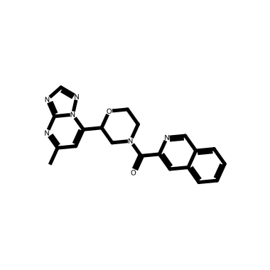 Cc1cc(C2CN(C(=O)c3cc4ccccc4cn3)CCO2)n2ncnc2n1